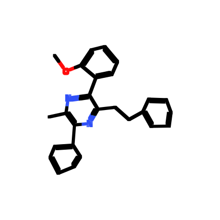 COc1ccccc1-c1nc(C)c(-c2ccccc2)nc1CCc1ccccc1